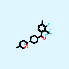 Cc1ccc(C(=O)C2CCC([C@@H]3CCC(C)CO3)CC2)c(C(F)(F)F)c1F